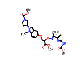 C[n+]1c2ccc(OCC(O/N=C(\C(=O)O)c3csc(NC(=O)OC(C)(C)C)n3)C(=O)OC(C)(C)C)cc2cn1C1CCN(C(=O)OC(C)(C)C)C1